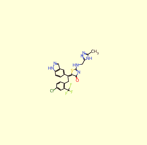 Cc1nnc(CNC2=NC(=O)C(=C(Cc3ccc(Cl)cc3C(F)(F)F)c3ccc4[nH]ncc4c3)S2)[nH]1